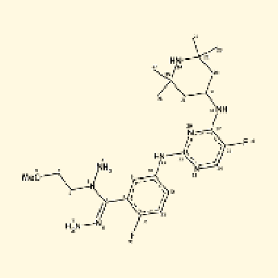 COCCN(N)/C(=N\N)c1cc(Nc2ncc(F)c(NC3CC(C)(C)NC(C)(C)C3)n2)ccc1F